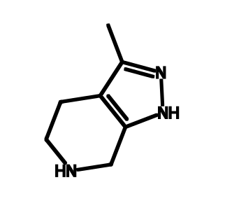 Cc1n[nH]c2c1CCNC2